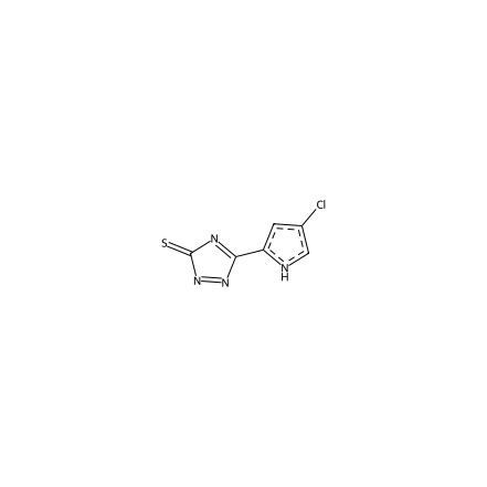 S=C1N=NC(c2cc(Cl)c[nH]2)=N1